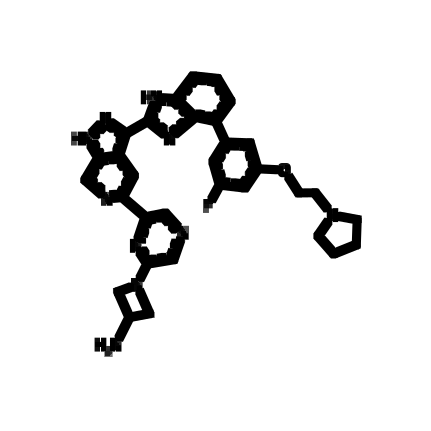 NC1CN(c2cncc(-c3cc4c(-c5nc6c(-c7cc(F)cc(OCCN8CCCC8)c7)cccc6[nH]5)n[nH]c4cn3)n2)C1